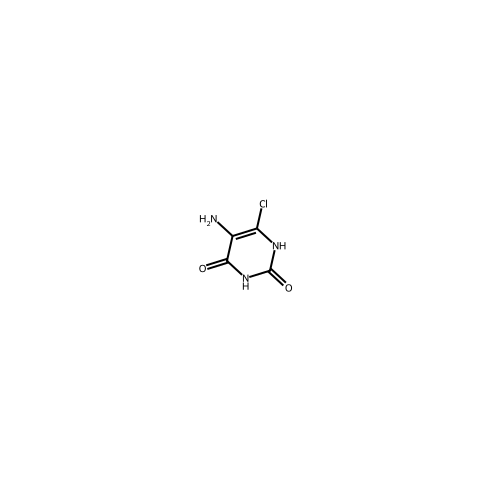 Nc1c(Cl)[nH]c(=O)[nH]c1=O